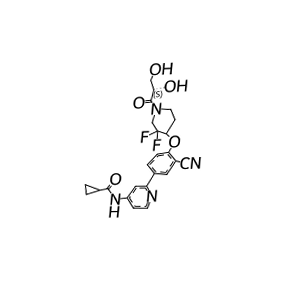 N#Cc1cc(-c2cc(NC(=O)C3CC3)ccn2)ccc1OC1CCN(C(=O)[C@@H](O)CO)CC1(F)F